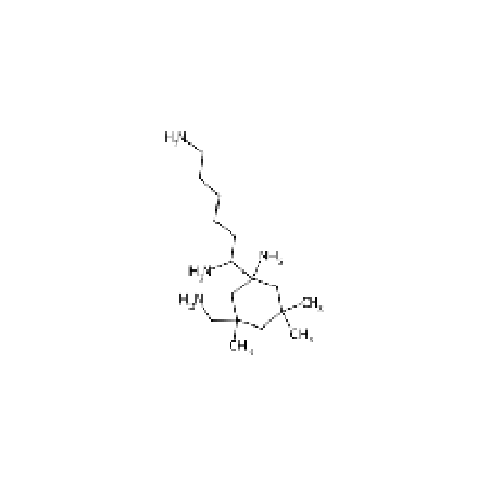 CC1(C)CC(C)(CN)CC(N)(C(N)CCCCCN)C1